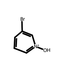 O[n+]1cccc(Br)c1